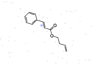 C=CCCOC(=O)/C=C/c1ccccc1